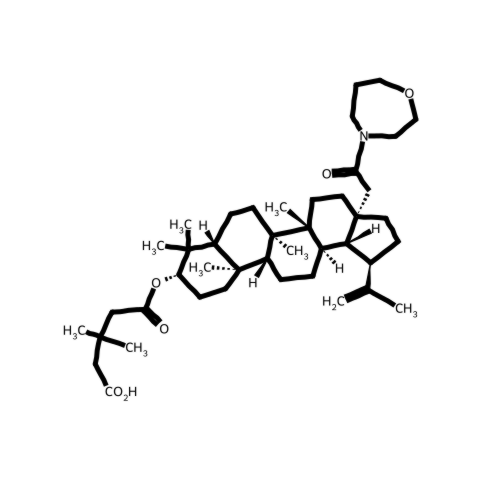 C=C(C)[C@@H]1CC[C@]2(CC(=O)N3CCCOCC3)CC[C@]3(C)[C@H](CC[C@@H]4[C@@]5(C)CC[C@H](OC(=O)CC(C)(C)CC(=O)O)C(C)(C)[C@@H]5CC[C@]43C)[C@@H]12